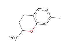 CCOC(=O)C1CCc2ccc(C)cc2O1